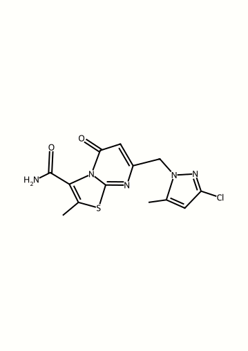 Cc1sc2nc(Cn3nc(Cl)cc3C)cc(=O)n2c1C(N)=O